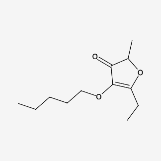 CCCCCOC1=C(CC)OC(C)C1=O